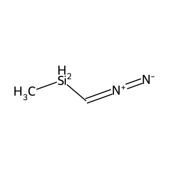 C[SiH2]C=[N+]=[N-]